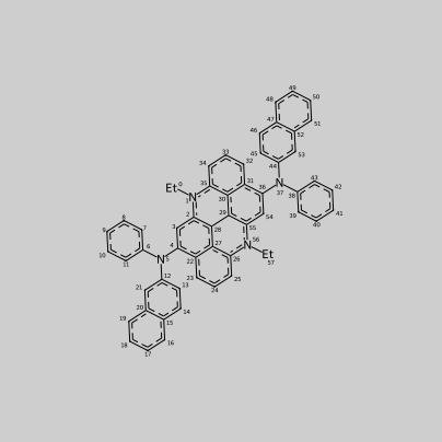 CCn1c2cc(N(c3ccccc3)c3ccc4ccccc4c3)c3cccc4c3c2-c2c3c(cccc31)c(N(c1ccccc1)c1ccc3ccccc3c1)cc2n4CC